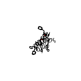 CC(Cc1cccc(C(F)(F)F)c1)NCCOC(=O)c1ccccc1.CNC(C)C(c1ccccc1)c1ccccc1.CNCCc1ccccc1.C[C@@H](Cc1ccccc1)N(C)Cc1ccccc1